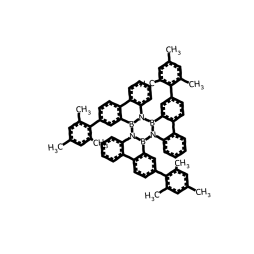 Cc1cc(C)c(-c2ccc3c(c2)B2N(B4c5cc(-c6c(C)cc(C)cc6C)ccc5-c5ccccc5N4B4c5cc(-c6c(C)cc(C)cc6C)ccc5-c5ccccc5N24)c2ccccc2-3)c(C)c1